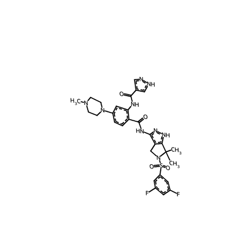 CN1CCN(c2ccc(C(=O)Nc3n[nH]c4c3CN(S(=O)(=O)c3cc(F)cc(F)c3)C4(C)C)c(NC(=O)c3cn[nH]c3)c2)CC1